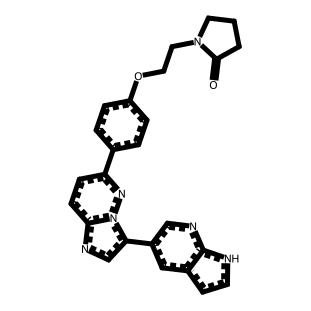 O=C1CCCN1CCOc1ccc(-c2ccc3ncc(-c4cnc5[nH]ccc5c4)n3n2)cc1